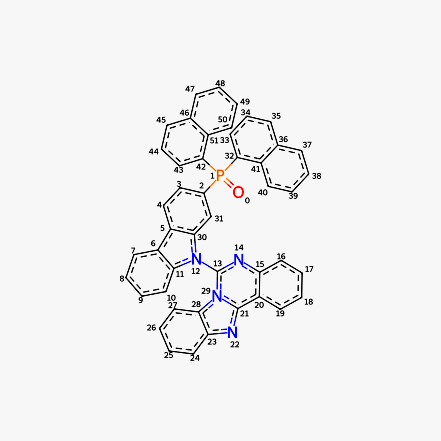 O=P(c1ccc2c3ccccc3n(-c3nc4ccccc4c4nc5ccccc5n34)c2c1)(c1cccc2ccccc12)c1cccc2ccccc12